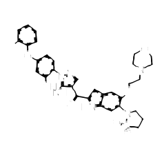 Cc1cc(Oc2ccccc2F)ccc1-n1ncc(C(=O)c2cc3cc(OCCN4CCOCC4)c(N4CCCS4(=O)=O)cc3[nH]2)c1N